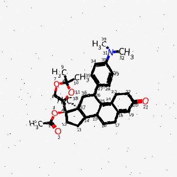 CC(=O)O[C@]1(C2COC(C)(C)O2)CCC2C3CCC4=CC(=O)CCC4=C3C(c3ccc(N(C)C)cc3)C[C@@]21C